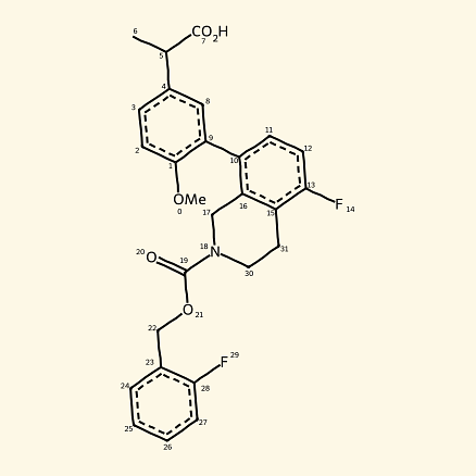 COc1ccc(C(C)C(=O)O)cc1-c1ccc(F)c2c1CN(C(=O)OCc1ccccc1F)CC2